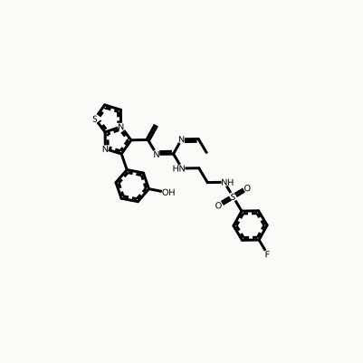 C=C(/N=C(\N=C/C)NCCNS(=O)(=O)c1ccc(F)cc1)c1c(-c2cccc(O)c2)nc2sccn12